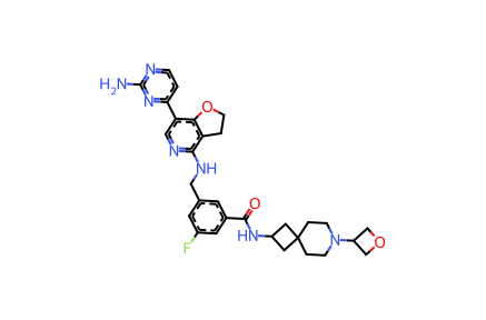 Nc1nccc(-c2cnc(NCc3cc(F)cc(C(=O)NC4CC5(CCN(C6COC6)CC5)C4)c3)c3c2OCC3)n1